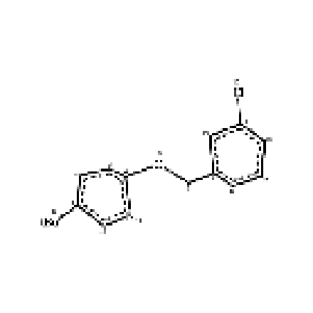 CC(C)(C)c1ccc(OCc2cccc(Cl)c2)nc1